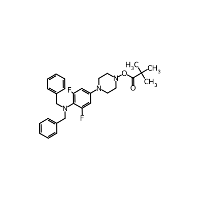 CC(C)(C)C(=O)ON1CCN(c2cc(F)c(N(Cc3ccccc3)Cc3ccccc3)c(F)c2)CC1